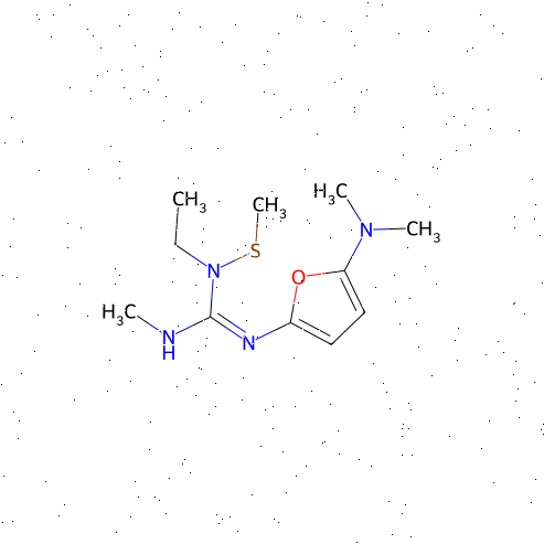 CCN(SC)C(=Nc1ccc(N(C)C)o1)NC